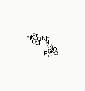 CCN(CC)C(=O)c1ccc(NC2CN(C3CCN(C(=O)C(O)(c4ccccc4)C(F)(F)F)CC3)C2)cc1Cl